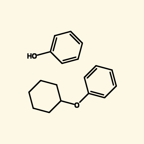 Oc1ccccc1.c1ccc(OC2CCCCC2)cc1